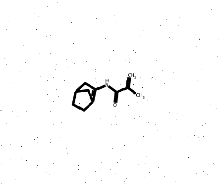 C=C(C)C(=O)NC1=C2CCC(C2)C1